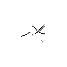 O=P([O-])([O-])[O-].[Cl][V].[V+3]